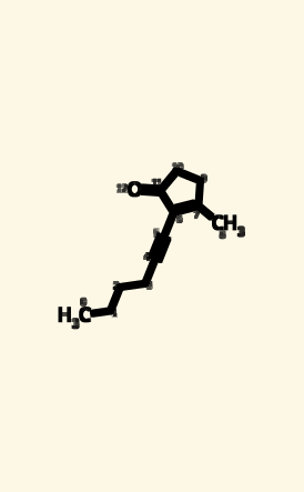 CCCCC#CC1=C(C)CCC1=O